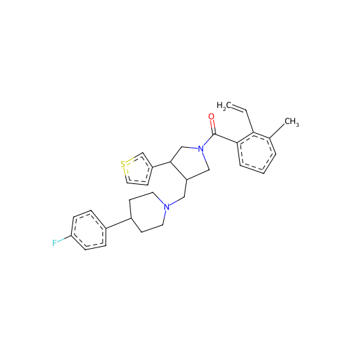 C=Cc1c(C)cccc1C(=O)N1CC(CN2CCC(c3ccc(F)cc3)CC2)C(c2ccsc2)C1